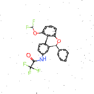 O=C(Nc1ccc2c(c1)C(c1ccccc1)Oc1cccc(OC(F)F)c1-2)C(F)(F)F